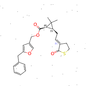 CC1(C)[C@H](C(=O)OCc2coc(Cc3ccccc3)c2)[C@@H]1C/C=C1\CCSC1=O